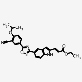 CCOC(=O)C=Cc1cc2cc(-c3noc(-c4ccc(OC(C)C)c(C#N)c4)n3)ccc2[nH]1